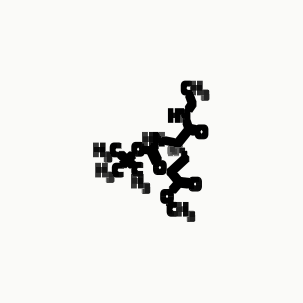 CCNC(=O)[C@H](CCC(=O)OC)NC(=O)OC(C)(C)C